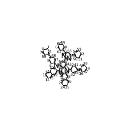 c1ccc(-c2ccc(N3c4cc5ccccc5cc4B4c5cc6ccccc6cc5N(c5ccc(-c6ccccc6)cc5)c5cc(-c6nc(-c7ccccc7)cc(-c7ccccc7)n6)cc3c54)cc2)cc1